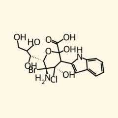 N[C@@]1(Br)[C@H](C(O)C(O)CO)OC(O)(C(=O)O)C(c2cc3ccccc3[nH]2)[C@@]1(O)Cl